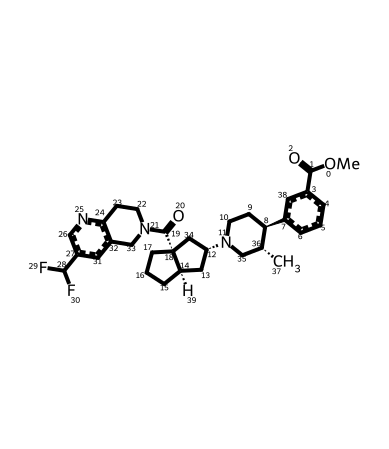 COC(=O)c1cccc([C@@H]2CCN([C@@H]3C[C@H]4CCC[C@@]4(C(=O)N4CCc5ncc(C(F)F)cc5C4)C3)C[C@H]2C)c1